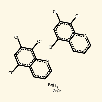 [BeH2].[O-]c1c(Cl)cc(Cl)c2cccnc12.[O-]c1c(Cl)cc(Cl)c2cccnc12.[Zn+2]